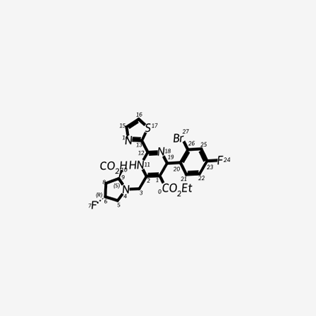 CCOC(=O)C1=C(CN2C[C@H](F)C[C@H]2C(=O)O)NC(c2nccs2)=NC1c1ccc(F)cc1Br